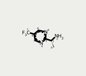 C[C@@H](N)c1ncc(C(F)(F)F)cn1